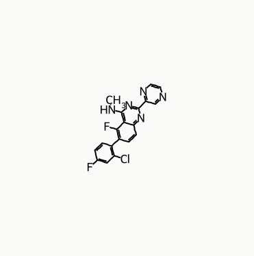 CNc1nc(-c2cnccn2)nc2ccc(-c3ccc(F)cc3Cl)c(F)c12